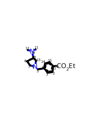 CCOC(=O)c1ccc(CN2CCC(N(C)C)C2)cc1